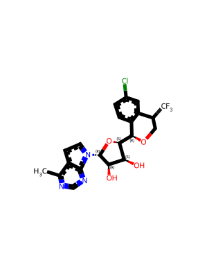 Cc1ncnc2c1ccn2[C@@H]1O[C@H]([C@@H]2OCC(C(F)(F)F)c3cc(Cl)ccc32)[C@@H](O)[C@H]1O